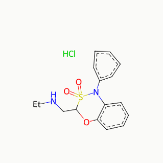 CCNCC1Oc2ccccc2N(c2ccccc2)S1(=O)=O.Cl